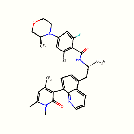 CCc1cc(N2CCOC[C@@H]2C(F)(F)F)cc(F)c1C(=O)N[C@@H](Cc1ccc(-c2c(C(F)(F)F)cc(C)n(C)c2=O)c2ncccc12)C(=O)O